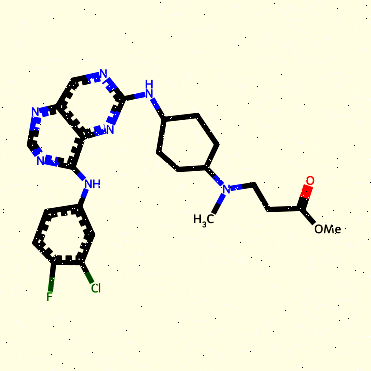 COC(=O)CCN(C)C1CCC(Nc2ncc3ncnc(Nc4ccc(F)c(Cl)c4)c3n2)CC1